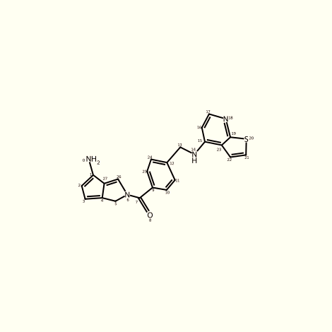 NC1=CC=C2CN(C(=O)c3ccc(CNc4ccnc5sccc45)cc3)C=C12